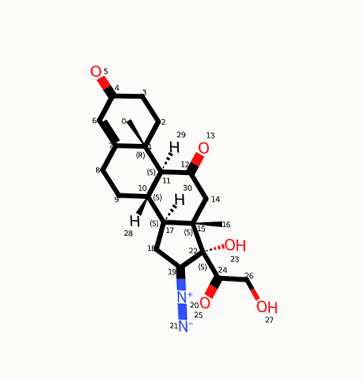 C[C@]12CCC(=O)C=C1CC[C@@H]1[C@@H]2C(=O)C[C@@]2(C)[C@H]1CC(=[N+]=[N-])[C@]2(O)C(=O)CO